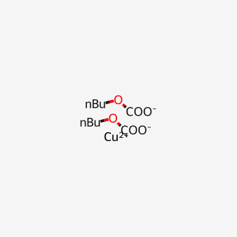 CCCCOC(=O)[O-].CCCCOC(=O)[O-].[Cu+2]